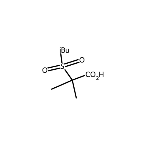 CCC(C)S(=O)(=O)C(C)(C)C(=O)O